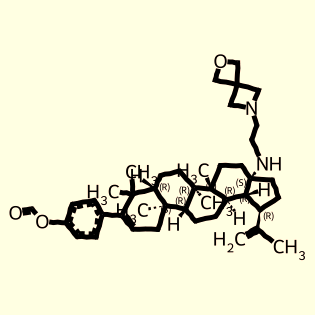 C=C(C)[C@@H]1CC[C@]2(NCCN3CC4(COC4)C3)CC[C@]3(C)[C@H](CC[C@@H]4[C@@]5(C)CC=C(c6ccc(OC=O)cc6)C(C)(C)[C@@H]5CC[C@]43C)[C@@H]12